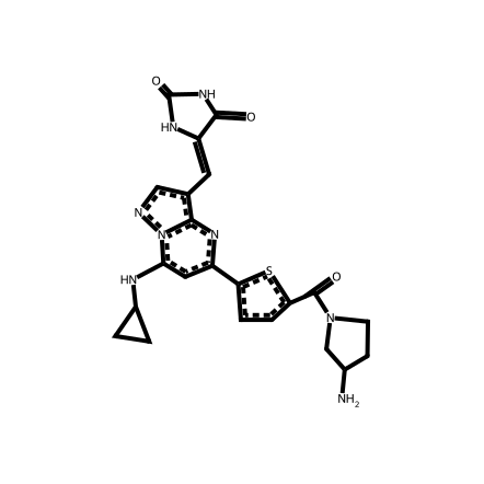 NC1CCN(C(=O)c2ccc(-c3cc(NC4CC4)n4ncc(/C=C5\NC(=O)NC5=O)c4n3)s2)C1